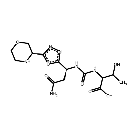 CC(O)C(NC(=O)N[C@@H](CC(N)=O)c1nnc([C@@H]2COCCN2)o1)C(=O)O